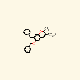 CCOC(=O)C1=Cc2cc(OCc3ccccc3)c(Cc3ccccc3)cc2OC1C(F)(F)F